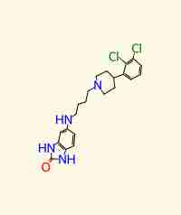 O=c1[nH]c2ccc(NCCCCN3CCC(c4cccc(Cl)c4Cl)CC3)cc2[nH]1